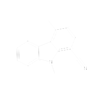 Cc1ccc(C#N)c2c1c1ccccc1n2C